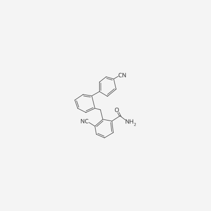 N#Cc1ccc(-c2ccccc2Cc2c(C#N)cccc2C(N)=O)cc1